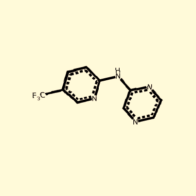 FC(F)(F)c1ccc(Nc2cnccn2)nc1